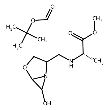 CC(C)(C)OC=O.COC(=O)[C@H](C)NCC1COC2C(O)N12